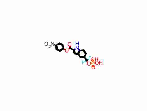 O=C(Oc1ccc([N+](=O)[O-])cc1)c1cc2cc(C(F)(F)OP(=O)(O)O)ccc2[nH]1